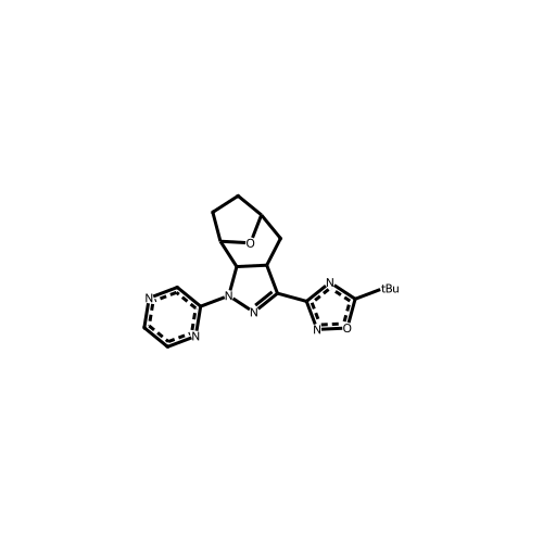 CC(C)(C)c1nc(C2=NN(c3cnccn3)C3C4CCC(CC23)O4)no1